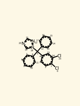 Clc1ccc(C(c2ccccc2)(c2ccccc2)n2cncn2)cc1Cl